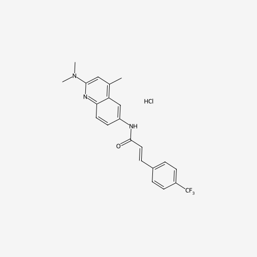 Cc1cc(N(C)C)nc2ccc(NC(=O)C=Cc3ccc(C(F)(F)F)cc3)cc12.Cl